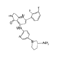 NC1CCCN(c2ccc(Nc3cc(-c4cccc(F)c4F)nc4c3C(=O)NC4)nc2)C1